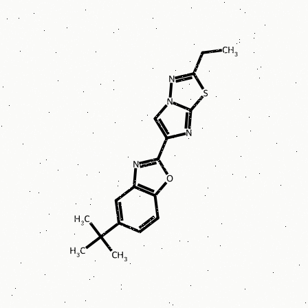 CCc1nn2cc(-c3nc4cc(C(C)(C)C)ccc4o3)nc2s1